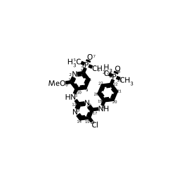 COc1nc(P(C)(C)=O)ccc1Nc1ncc(Cl)c(Nc2ccc(P(C)(C)=O)cc2)n1